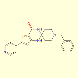 O=C1NC2(CCN(Cc3ccccc3)CC2)Nc2cc(-c3ccncc3)sc21